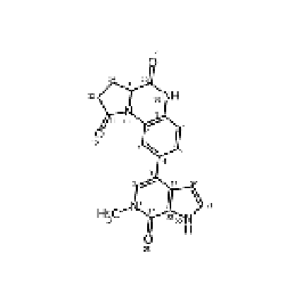 Cn1cc(-c2ccc3c(c2)N2C(=O)CCC2C(=O)N3)c2cc[nH]c2c1=O